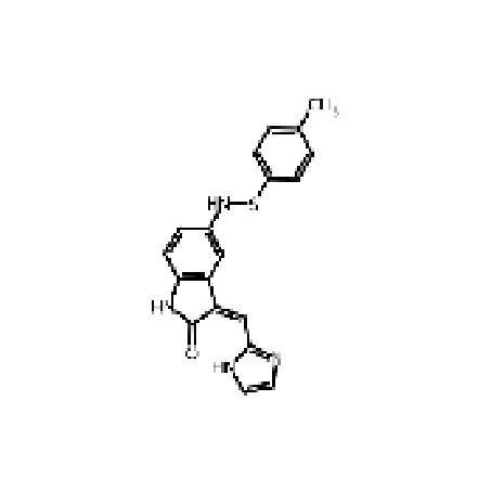 Cc1ccc(SNc2ccc3c(c2)/C(=C/c2ncc[nH]2)C(=O)N3)cc1